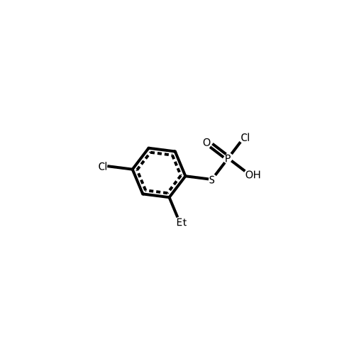 CCc1cc(Cl)ccc1SP(=O)(O)Cl